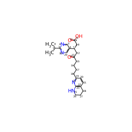 CC(C)c1ncc([C@@H](CC(=O)O)CC(=O)CCCCc2ccc3c(n2)NCCC3)cn1